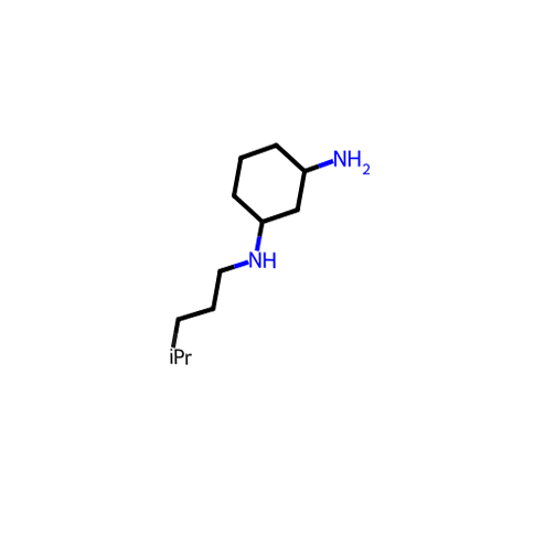 CC(C)CCCNC1CCCC(N)C1